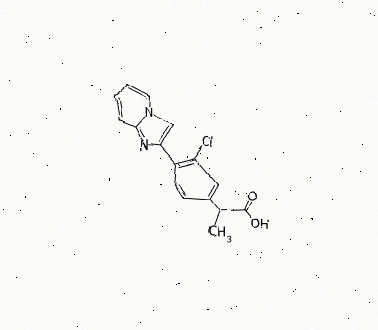 CC(C(=O)O)c1ccc(-c2cn3ccccc3n2)c(Cl)c1